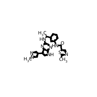 Cc1ncc(C(=O)Nc2cccc([C@H](C)Nc3cnc4[nH]cc(-c5cnn(C)c5)c4n3)c2)s1